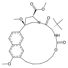 COC(=O)[C@@H]1C[C@]2(OC)CN1C(=O)[C@H](C(C)(C)C)NC(=O)OCCCCCc1cc3cc2ccc3cc1OC